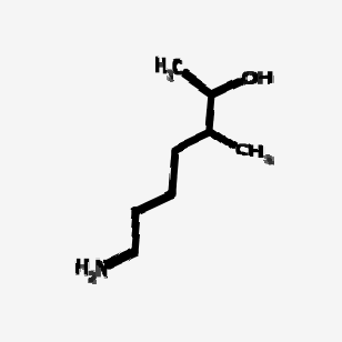 CC(O)C(C)CCCCN